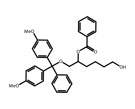 COc1ccc(C(OCC(CCCCO)OC(=O)c2ccccc2)(c2ccccc2)c2ccc(OC)cc2)cc1